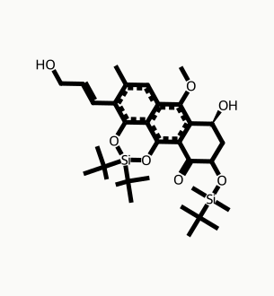 COc1c2c(c3c4c(c(/C=C/CO)c(C)cc14)O[Si](C(C)(C)C)(C(C)(C)C)O3)C(=O)C(O[Si](C)(C)C(C)(C)C)C[C@@H]2O